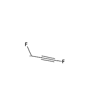 F[C]C#CF